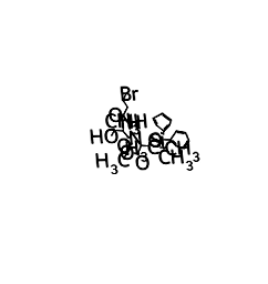 COC(=O)C(CO[Si](c1ccccc1)(c1ccccc1)C(C)(C)C)NC(=O)C(NC(=O)CCBr)C(C)O